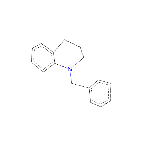 c1ccc(CN2CCCc3ccccc32)cc1